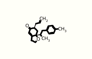 C=CC[C@H]1C[C@]2(C(C)Cc3ccc(C)cc3)OCCC2=CC1=O